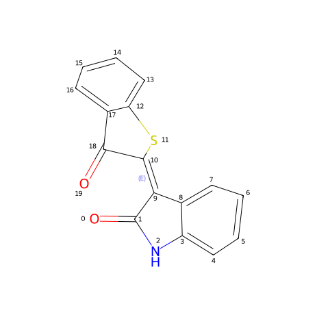 O=C1Nc2ccccc2/C1=C1\Sc2ccccc2C1=O